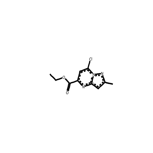 CCOC(=O)c1cc(Cl)n2nc(C)cc2n1